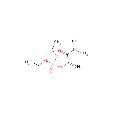 C=C(OP(=O)(OCC)OCC)C(=O)N(C)C